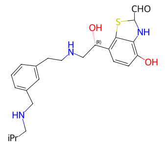 CC(C)CNCc1cccc(CCNC[C@H](O)c2ccc(O)c3c2SC(C=O)N3)c1